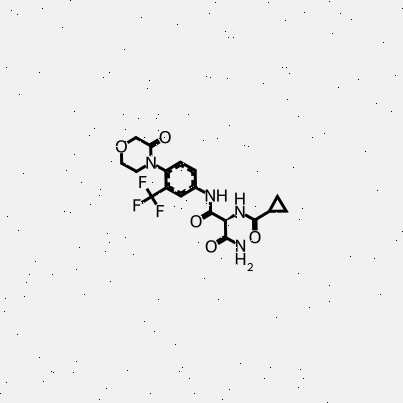 NC(=O)[C@H](NC(=O)C1CC1)C(=O)Nc1ccc(N2CCOCC2=O)c(C(F)(F)F)c1